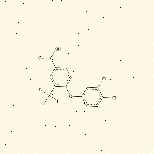 O=C(O)c1ccc(Oc2ccc(Cl)c(Cl)c2)c(C(F)(F)F)c1